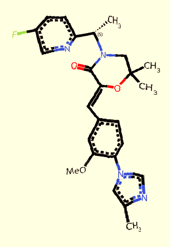 COc1cc(C=C2OC(C)(C)CN([C@@H](C)c3ccc(F)cn3)C2=O)ccc1-n1cnc(C)c1